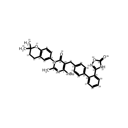 CCCCc1nc(C)n(-c2ccc3c(c2)CCC(C)(C)O3)c(=O)c1Cc1ccc(-c2ccccc2-c2noc(=O)[nH]2)cc1